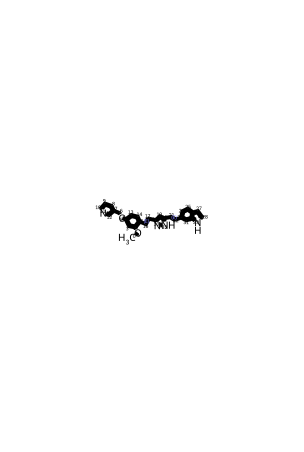 COc1cc(OCc2cccnc2)ccc1/C=C/c1cc(/C=C/c2ccc3cc[nH]c3c2)[nH]n1